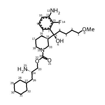 COCCCC[C@@](O)(c1cccc(N)c1F)[C@@H]1CCCN(C(=O)OC[C@@H](N)CC2CCCCC2)C1